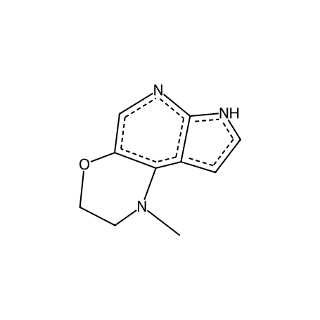 CN1CCOc2cnc3[nH]ccc3c21